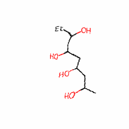 CCC(O)C(O)CC(O)CC(C)O